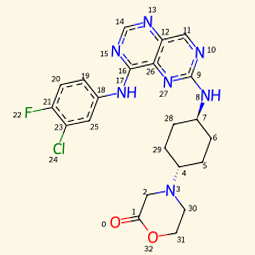 O=C1CN([C@H]2CC[C@H](Nc3ncc4ncnc(Nc5ccc(F)c(Cl)c5)c4n3)CC2)CCO1